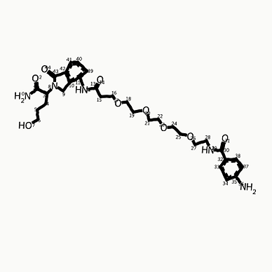 NC(=O)C(CCCO)N1Cc2c(NC(=O)CCOCCOCCOCCOCCNC(=O)c3ccc(N)cc3)cccc2C1=O